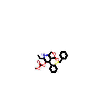 CCC1=C(OC(=O)OC)C(c2ccccc2SCc2ccccc2)C2=C(COC2=O)N1